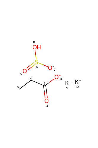 CCC(=O)[O-].O=S([O-])O.[K+].[K+]